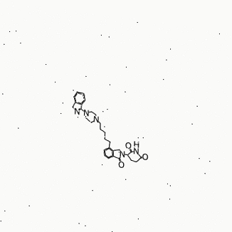 O=C1CCC(N2Cc3c(CCCCCN4CCN(C5=NCc6ccccc65)CC4)cccc3C2=O)C(=O)N1